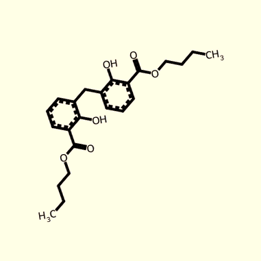 CCCCOC(=O)c1cccc(Cc2cccc(C(=O)OCCCC)c2O)c1O